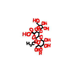 CO[C@@H]1OC(C(=O)O)[C@@H](O)[C@@H](O[C@@H]2O[C@@H](CO)[C@@H](O)C2O)C1O[C@@H]1OC(CO)[C@H](O)[C@@H](O)C1O